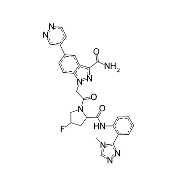 Cn1cnnc1-c1ccccc1NC(=O)C1CC(F)CN1C(=O)Cn1nc(C(N)=O)c2cc(-c3ccnnc3)ccc21